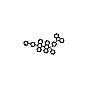 c1ccc(-c2ccc(-c3c4ccccc4c(-c4c5ccccc5c(N(c5ccccc5)c5ccc(-n6c7ccccc7c7ccccc76)cc5)c5ccccc45)c4ccccc34)cc2)cc1